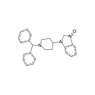 O=[N+]1CN(C2CCN(C(c3ccccc3)c3ccccc3)CC2)c2ccccc21